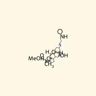 COC(=O)CC[C@@H](C)[C@H]1CCC2C3C[C@@H](O)[C@H]4CC(/C=C/CCNc5ccccc5)CC[C@]4(C)C3CC[C@@]21C